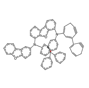 C1#CC(C2=CC(N(c3ccc(-c4ccccc4)cc3)c3cccc4c3oc3c(N(c5ccc(-c6ccccc6)cc5)c5ccc6oc7ccccc7c6c5)cccc34)=CCC#C2)=CC=CC1